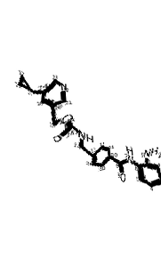 Nc1ccccc1NC(=O)c1ccc(CNC(=O)OCc2cncc(C3CC3)c2)cc1